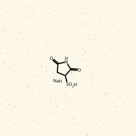 O=C1CC(S(=O)(=O)O)C(=O)N1.[NaH]